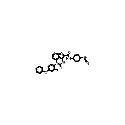 Cc1cc(Oc2ccccc2)ccc1N1C(=O)Nc2c(C(=O)NC3CCC(NC#N)CC3)sc3nccc1c23